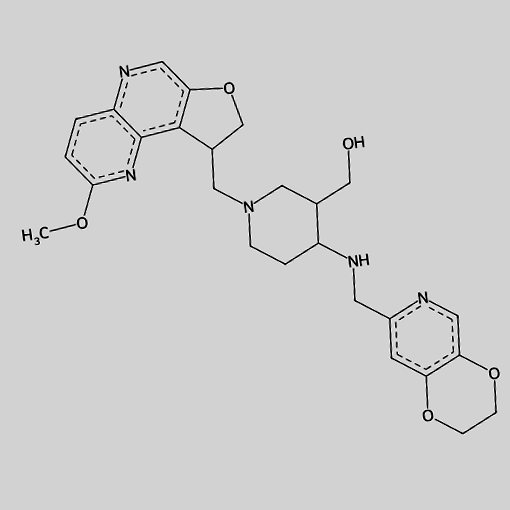 COc1ccc2ncc3c(c2n1)C(CN1CCC(NCc2cc4c(cn2)OCCO4)C(CO)C1)CO3